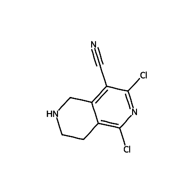 N#Cc1c(Cl)nc(Cl)c2c1CNCC2